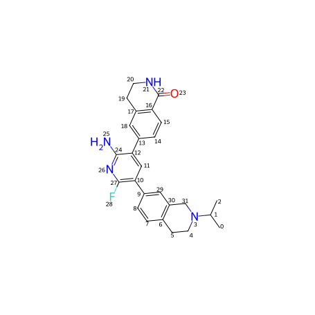 CC(C)N1CCc2ccc(-c3cc(-c4ccc5c(c4)CCNC5=O)c(N)nc3F)cc2C1